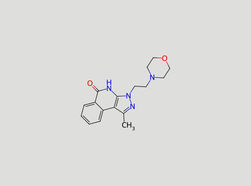 Cc1nn(CCN2CCOCC2)c2[nH]c(=O)c3ccccc3c12